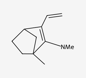 C=CC1=C(NC)C2(C)CCC1C2